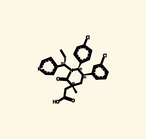 CC[C@@H](c1ccncc1)N1C(=O)[C@@](C)(CC(=O)O)C[C@H](c2cccc(Cl)c2)[C@H]1c1ccc(Cl)cc1